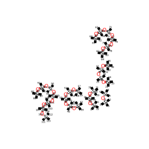 C[Si](C)(C)O[Si](C)(C)C.C[Si](C)(C)O[Si](C)(C)O[Si](C)(C)C.C[Si](C)(C)O[Si](C)(C)O[Si](C)(C)O[Si](C)(C)C.C[Si](C)(C)O[Si](C)(C)O[Si](C)(C)O[Si](C)(C)O[Si](C)(C)C.C[Si](C)(C)O[Si](C)(C)O[Si](C)(C)O[Si](C)(C)O[Si](C)(C)O[Si](C)(C)C.C[Si](C)(C)O[Si](C)(C)O[Si](C)(C)O[Si](C)(C)O[Si](C)(C)O[Si](C)(C)O[Si](C)(C)C